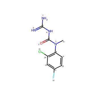 CN(C(=O)NC(=N)N)c1ccc(F)cc1Cl